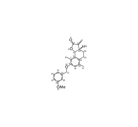 C=C1C(=O)OC2c3c(C)c(OCc4cccc(OC)c4)cc(C)c3CC[C@@H]12